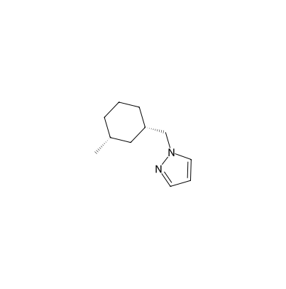 C[C@@H]1CCC[C@H](Cn2cccn2)C1